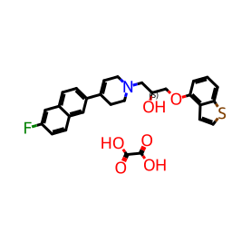 O=C(O)C(=O)O.O[C@H](COc1cccc2sccc12)CN1CC=C(c2ccc3cc(F)ccc3c2)CC1